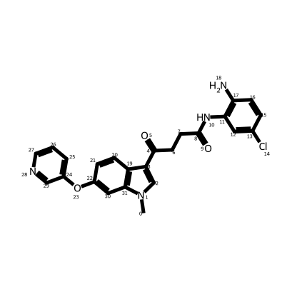 Cn1cc(C(=O)CCC(=O)Nc2cc(Cl)ccc2N)c2ccc(Oc3cccnc3)cc21